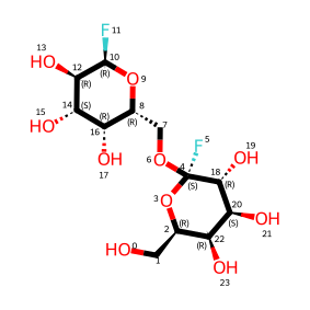 OC[C@H]1O[C@@](F)(OC[C@H]2O[C@H](F)[C@H](O)[C@@H](O)[C@H]2O)[C@H](O)[C@@H](O)[C@H]1O